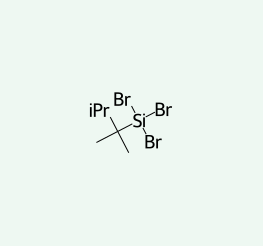 CC(C)C(C)(C)[Si](Br)(Br)Br